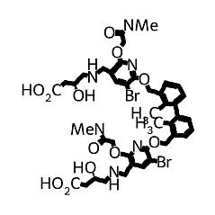 CNC(=O)COc1nc(OCc2cccc(-c3cccc(COc4nc(OCC(=O)NC)c(CNC[C@@H](O)CC(=O)O)cc4Br)c3C)c2C)c(Br)cc1CNC[C@@H](O)CC(=O)O